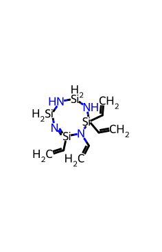 C=CN1[Si](C=C)=N[SiH2]N[SiH2]N[Si]1(C=C)C=C